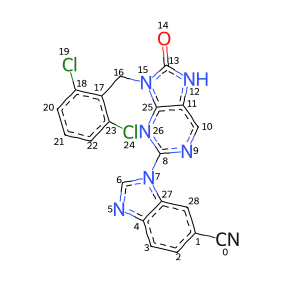 N#Cc1ccc2ncn(-c3ncc4[nH]c(=O)n(Cc5c(Cl)cccc5Cl)c4n3)c2c1